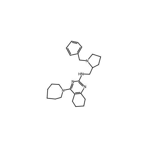 c1ccc(CN2CCCC2CNc2nc3c(c(N4CCCCCC4)n2)CCCC3)cc1